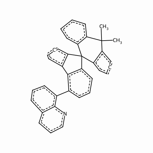 CC1(C)c2ccccc2C2(c3ccccc3-c3c(-c4cccc5cccnc45)cccc32)c2ccccc21